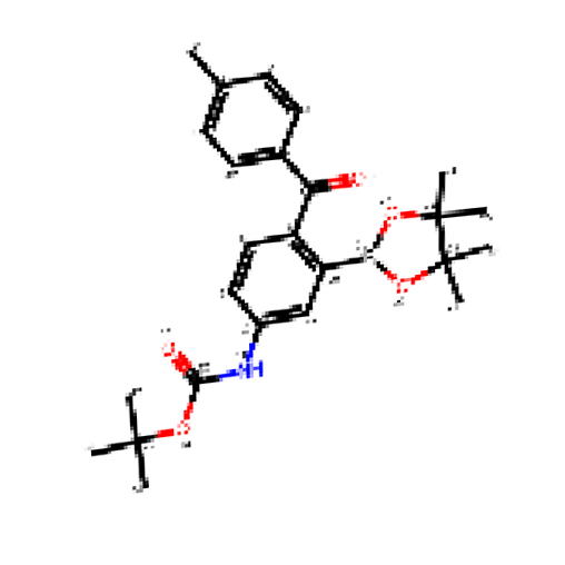 Cc1ccc(C(=O)c2ccc(NC(=O)OC(C)(C)C)cc2B2OC(C)(C)C(C)(C)O2)cc1